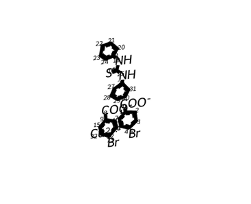 O=C([O-])c1ccc(Br)cc1.O=C([O-])c1ccc(Br)cc1.S=C(Nc1ccccc1)Nc1ccccc1.[Cu+2]